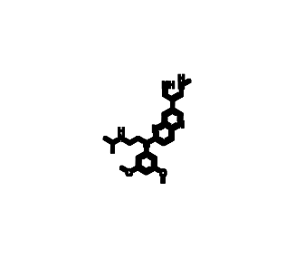 CN/C=C(\C=N)c1cnc2ccc(N(CCNC(C)C)c3cc(OC)cc(OC)c3)nc2c1